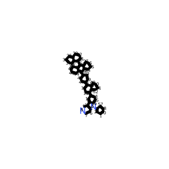 c1ccc(-n2c3ccncc3c3cc(-c4ccc(-c5ccc(-c6c7ccccc7c(-c7cccc8ccccc78)c7ccccc67)cc5)c5ccccc45)ccc32)cc1